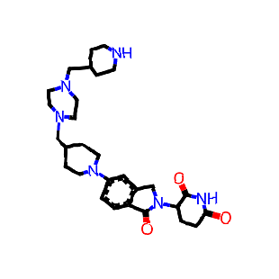 O=C1CCC(N2Cc3cc(N4CCC(CN5CCN(CC6CCNCC6)CC5)CC4)ccc3C2=O)C(=O)N1